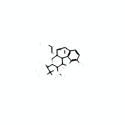 CCC[C@]12C[C@H]([C@](C)(O)C(C)(C)C)C(OC)[C@@H]3Oc4c(O)ccc5c4[C@@]31CCN[C@@H]2C5